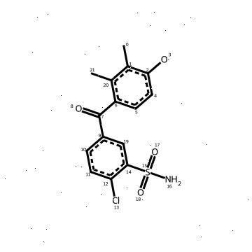 Cc1c([O])ccc(C(=O)c2ccc(Cl)c(S(N)(=O)=O)c2)c1C